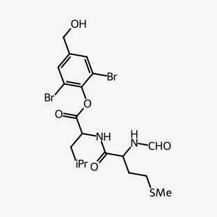 CSCCC(NC=O)C(=O)NC(CC(C)C)C(=O)Oc1c(Br)cc(CO)cc1Br